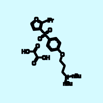 CCCCN(CCCC)CCCOc1ccc(S(=O)(=O)c2ccoc2C(C)C)cc1.O=C(O)C(=O)O